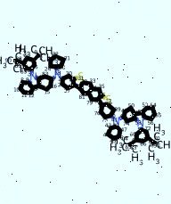 CC(C)(C)c1cc(-n2c3ccccc3c3ccc(N(c4ccccc4)c4ccc5c(c4)sc4cc6cc7sc8cc(N(c9ccccc9)c9ccc%10c%11ccccc%11n(-c%11cc(C(C)(C)C)cc(C(C)(C)C)c%11)c%10c9)ccc8c7cc6cc45)cc32)cc(C(C)(C)C)c1